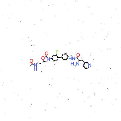 CC(=O)NCC[C@H]1CN(c2ccc(-c3ccc(CNC(=O)[C@@H](N)Cc4cccnc4)cc3)c(F)c2)C(=O)O1